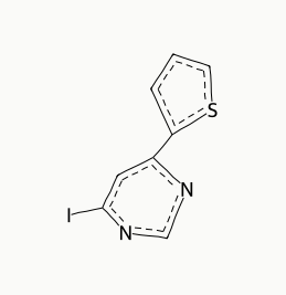 Ic1cc(-c2cccs2)ncn1